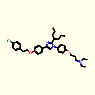 CCCC(CCC)c1nc(-c2ccc(OCCc3ccc(Cl)cc3)cc2)cn1-c1ccc(OCCCN(CC)CC)cc1